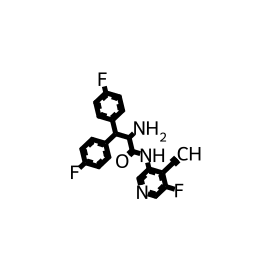 C#Cc1c(F)cncc1NC(=O)C(N)C(c1ccc(F)cc1)c1ccc(F)cc1